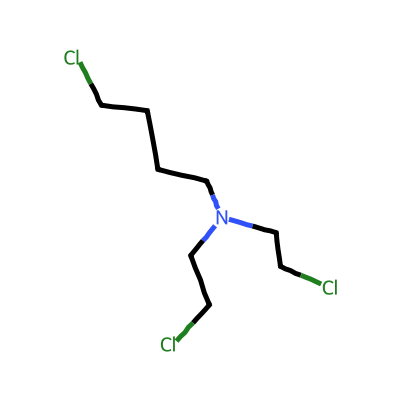 ClCCCCN(CCCl)CCCl